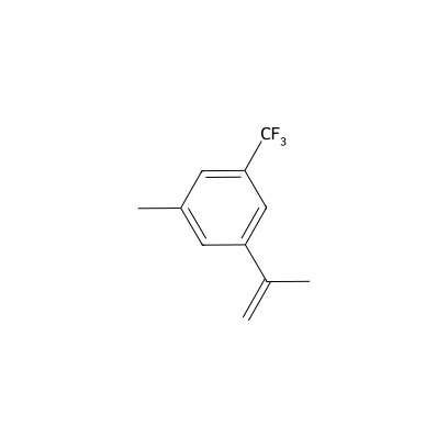 C=C(C)c1cc(C)cc(C(F)(F)F)c1